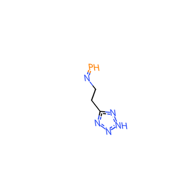 P=NCCc1nn[nH]n1